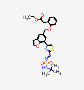 CCOC(=O)Cc1ccccc1OCc1cc(-c2csc(C=NS(=O)(=O)NC(C)(C)C)n2)c2occc2c1